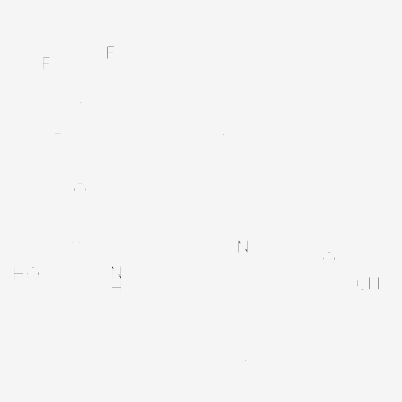 COc1cccc(C(NC(=O)O)c2cccc(C(F)(F)F)c2)n1